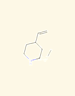 C=CC1CCNCC1.CC(=O)O